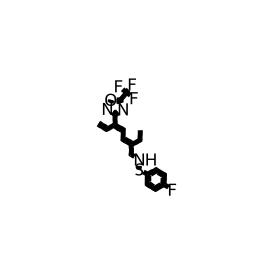 C=C/C(=C\C=C(/CC)CNSc1ccc(F)cc1)c1noc(C(F)(F)F)n1